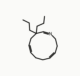 CCCC1(CCC)C=NCCC=CCCC=CC1